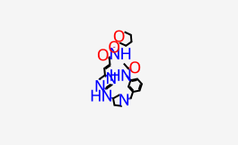 CC(=O)Nc1cccc(CN2CC[C@@H](Nc3cnc(C=CC(=O)NOC4CCCCO4)cn3)C2)c1